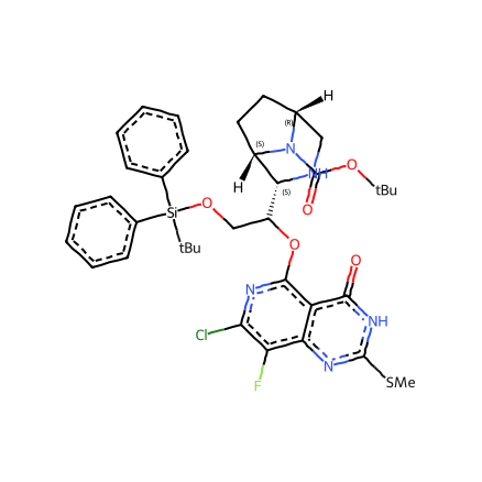 CSc1nc2c(F)c(Cl)nc(OC(CO[Si](c3ccccc3)(c3ccccc3)C(C)(C)C)[C@H]3NC[C@H]4CC[C@@H]3N4C(=O)OC(C)(C)C)c2c(=O)[nH]1